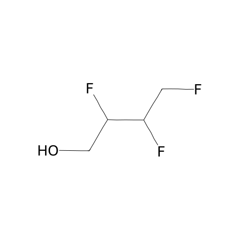 OCC(F)C(F)CF